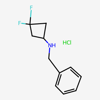 Cl.FC1(F)CC(NCc2ccccc2)C1